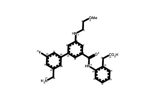 COCCNc1cc(C(=O)Nc2ccccc2CC(=O)O)cc(-c2cc(F)cc(CN)c2)c1